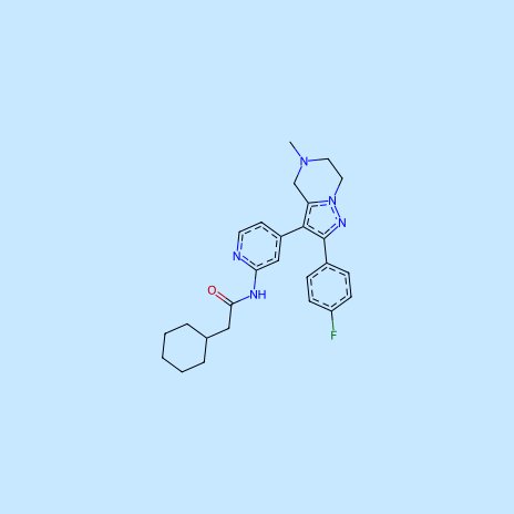 CN1CCn2nc(-c3ccc(F)cc3)c(-c3ccnc(NC(=O)CC4CCCCC4)c3)c2C1